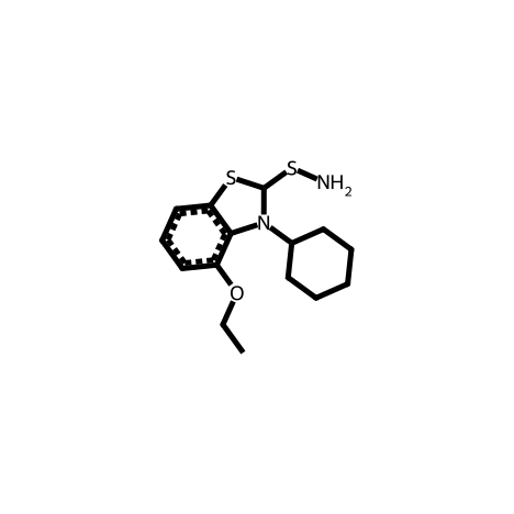 CCOc1cccc2c1N(C1CCCCC1)C(SN)S2